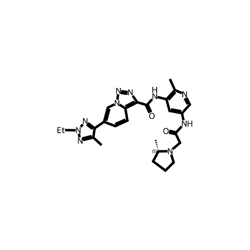 CCn1nc(C)c(-c2ccc3c(C(=O)Nc4cc(NC(=O)CN5CCC[C@@H]5C)cnc4C)nnn3c2)n1